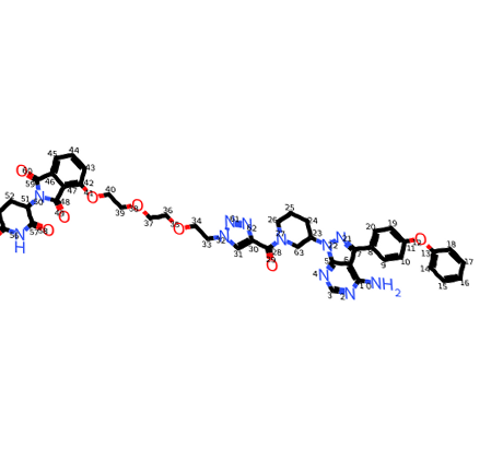 Nc1ncnc2c1c(-c1ccc(Oc3ccccc3)cc1)nn2C1CCCN(C(=O)c2cn(CCOCCOCCOc3cccc4c3C(=O)N(C3CCC(=O)NC3=O)C4=O)nn2)C1